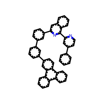 c1ccc(-c2ccnc(-c3nc(-c4cccc(-c5cccc(-c6ccc7c8ccccc8c8ccccc8c7c6)c5)c4)cc4ccccc34)c2)cc1